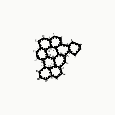 c1ccc2c(c1)c1ccc3ccc4ccc5c6cccc7ccc8cc2c2c1c3c4c5c2c8c76